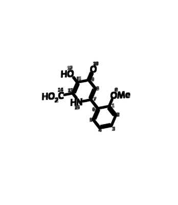 COc1ccccc1-c1cc(=O)c(O)c(C(=O)O)[nH]1